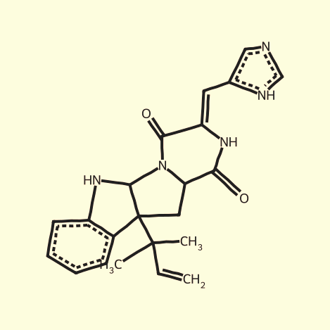 C=CC(C)(C)C12CC3C(=O)N/C(=C\c4cnc[nH]4)C(=O)N3C1Nc1ccccc12